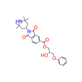 CC1(C)CC(N2C(=O)c3ccc(C(=O)OCC(O)COc4ccccc4)cc3C2=O)CC(C)(C)N1